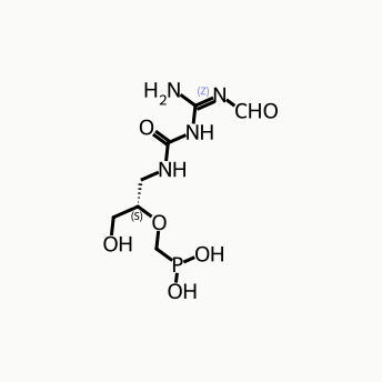 N/C(=N/C=O)NC(=O)NC[C@@H](CO)OCP(O)O